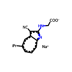 CC(C)c1cccc2nc(NCC(=O)[O-])c(C#N)c-2c1.[Na+]